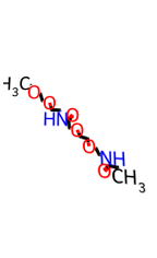 CCOCCOCCNC(=O)COCCOCCNC(=O)CC